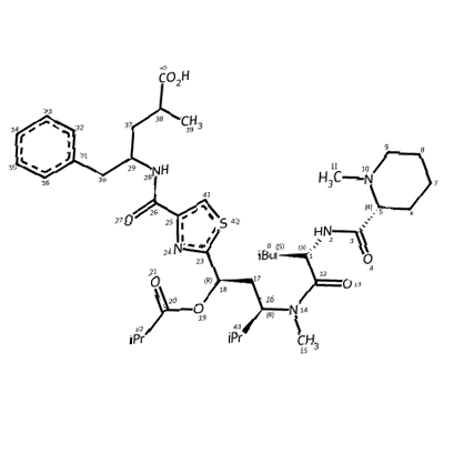 CC[C@H](C)[C@H](NC(=O)[C@H]1CCCCN1C)C(=O)N(C)[C@H](C[C@@H](OC(=O)C(C)C)c1nc(C(=O)NC(Cc2ccccc2)CC(C)C(=O)O)cs1)C(C)C